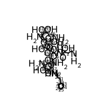 NCC[C@H](O)C(=O)N[C@@H]1C[C@H](N)[C@@H](O[C@H]2O[C@H](CNCCCc3ccccc3)[C@@H](O)[C@H](O)[C@H]2N)[C@H](O[C@@H]2O[C@H](CO)[C@@H](O[C@H]3O[C@@H](CN)[C@@H](O)[C@H](O)[C@H]3N)[C@H]2O)[C@H]1O